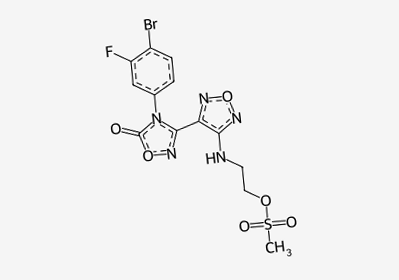 CS(=O)(=O)OCCNc1nonc1-c1noc(=O)n1-c1ccc(Br)c(F)c1